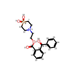 O=C(OCCN1CCS(=O)(=O)CC1)c1ccccc1C(=O)c1ccccc1